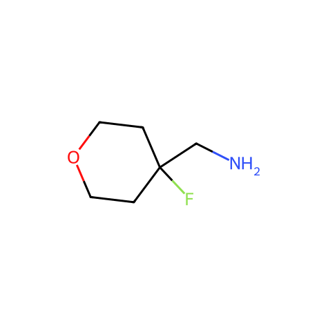 NCC1(F)CCOCC1